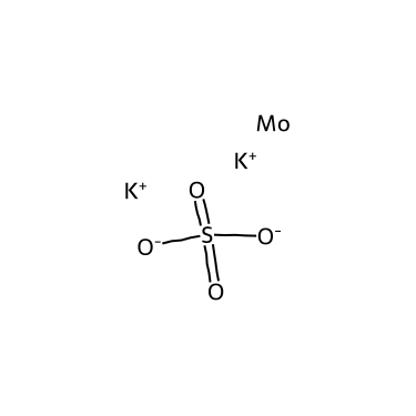 O=S(=O)([O-])[O-].[K+].[K+].[Mo]